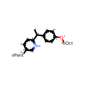 CCCCCCCCOc1ccc(C(C)c2ccc(CCCCC)cn2)cc1